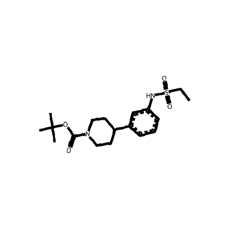 CCS(=O)(=O)Nc1cccc(C2CCN(C(=O)OC(C)(C)C)CC2)c1